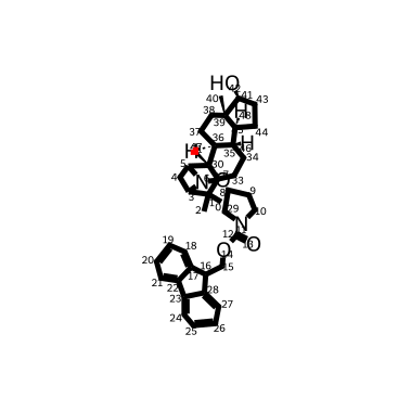 CC1(C)C2CC(N2O[C@@H]2CCN(C(=O)OCC3c4ccccc4-c4ccccc43)C2)[C@@]2(C)C1CC[C@@H]1[C@@H]2CC[C@]2(C)[C@@H](O)CC[C@@H]12